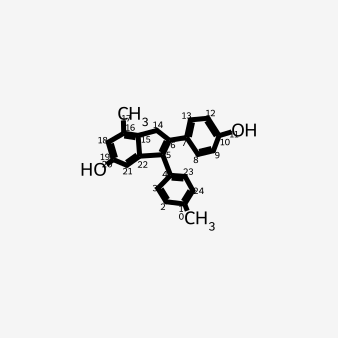 Cc1ccc(C2=C(c3ccc(O)cc3)Cc3c(C)cc(O)cc32)cc1